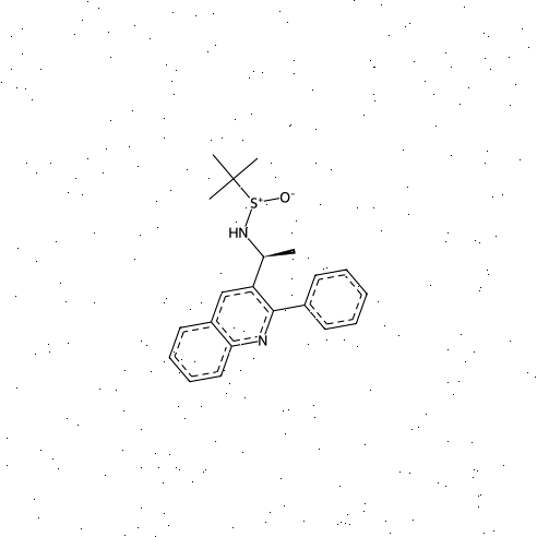 C[C@H](N[S+]([O-])C(C)(C)C)c1cc2ccccc2nc1-c1ccccc1